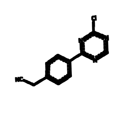 N#CCc1ccc(-c2ncnc(Cl)n2)cc1